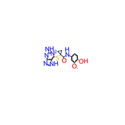 COc1cc(NC(=O)C2(Sc3nc(N)nc4nc[nH]c34)CC2)ccc1O